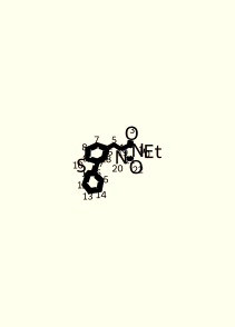 CCN1C(=O)C(Cc2ccc3sc4ccccc4c3c2)N(C)C1=O